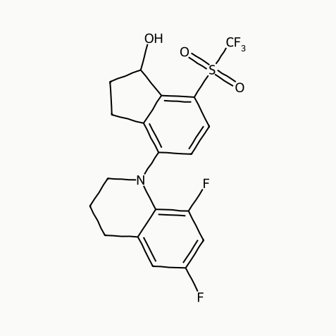 O=S(=O)(c1ccc(N2CCCc3cc(F)cc(F)c32)c2c1C(O)CC2)C(F)(F)F